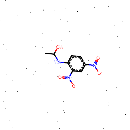 CC(O)Nc1ccc([N+](=O)[O-])cc1[N+](=O)[O-]